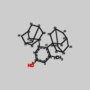 Cc1cc(O)cc(C23CC4CC(CC(C4)C2)C3)c1C12CC3CC(CC(C3)C1)C2